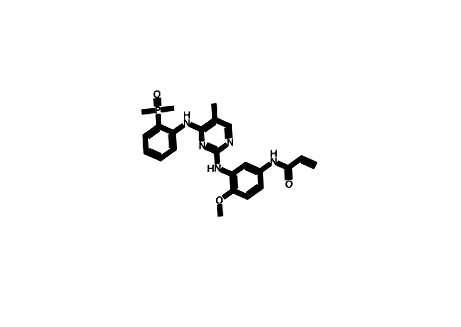 C=CC(=O)Nc1ccc(OC)c(Nc2ncc(C)c(Nc3ccccc3P(C)(C)=O)n2)c1